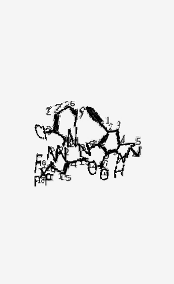 C#Cc1cc2cn[nH]c2c2c(=O)oc(-c3cc(C(F)(F)F)nn3-c3ncccc3Cl)nc12